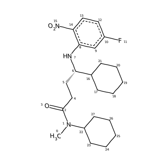 CN(C(=O)CC[C@H](Nc1cc(F)ccc1[N+](=O)[O-])C1CCCCC1)C1CCCCC1